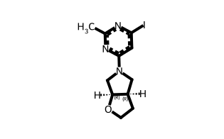 Cc1nc(I)cc(N2C[C@H]3CCO[C@H]3C2)n1